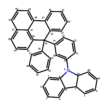 C1=CC2c3ccccc3N(c3cccc(C4(c5ccccc5)c5ccccc5-c5cccc6cccc4c56)c3)C2C=C1